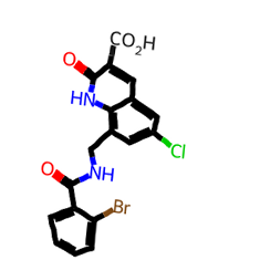 O=C(NCc1cc(Cl)cc2cc(C(=O)O)c(=O)[nH]c12)c1ccccc1Br